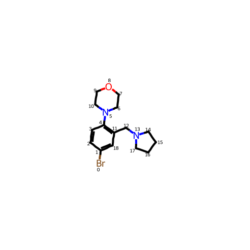 Brc1ccc(N2CCOCC2)c(CN2CCCC2)c1